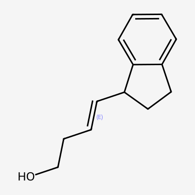 OCC/C=C/C1CCc2ccccc21